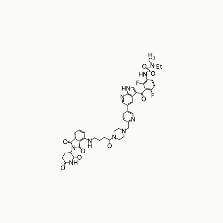 CCN(C)S(=O)(=O)Nc1ccc(F)c(C(=O)c2c[nH]c3ncc(-c4ccc(CN5CCN(C(=O)CCCNc6cccc7c6C(=O)N(C6CCC(=O)NC6=O)C7=O)CC5)nc4)cc23)c1F